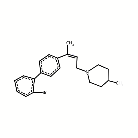 C/C(=C/CN1CCC(C)CC1)c1ccc(-c2ccccc2Br)cc1